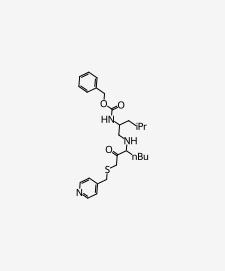 CCCCC(NCC(CC(C)C)NC(=O)OCc1ccccc1)C(=O)CSCc1ccncc1